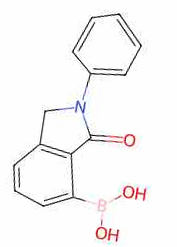 O=C1c2c(cccc2B(O)O)CN1c1ccccc1